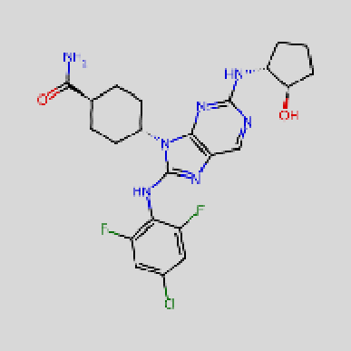 NC(=O)[C@H]1CC[C@H](n2c(Nc3c(F)cc(Cl)cc3F)nc3cnc(N[C@@H]4CCC[C@H]4O)nc32)CC1